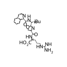 CC[C@H](C)C(NC(=O)c1nccc2ccccc12)c1nc(C(=O)N[C@@H](CCCNC(=N)N)C(=O)O)co1